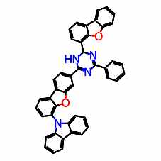 c1ccc(C2=NC(c3cccc4c3oc3ccccc34)NC(c3ccc4c(c3)oc3c(-n5c6ccccc6c6ccccc65)cccc34)=N2)cc1